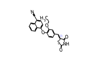 CCOc1cc(/C=C2\SC(=O)NC2=O)ccc1Oc1ccc(C#N)c2ccccc12